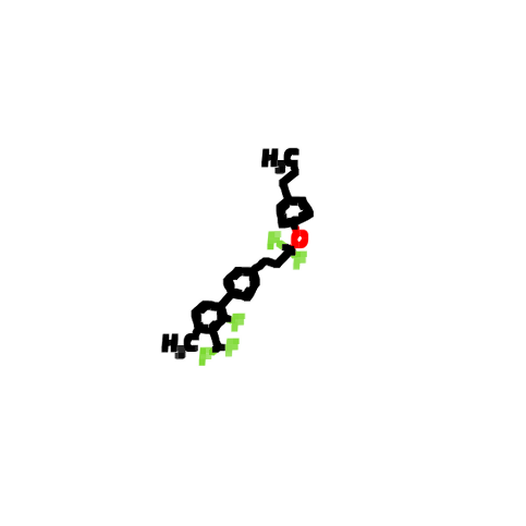 CCCc1ccc(OC(F)(F)CCc2ccc(-c3ccc(C)c(C(F)F)c3F)cc2)cc1